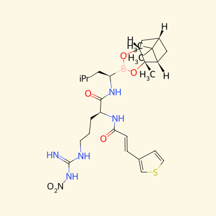 CC(C)C[C@H](NC(=O)[C@H](CCCNC(=N)N[N+](=O)[O-])NC(=O)/C=C/c1ccsc1)B1O[C@@H]2C[C@@H]3C[C@@H](C3(C)C)[C@]2(C)O1